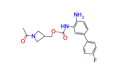 CC(=O)N1CC(COC(=O)Nc2cc(-c3ccc(F)cc3)ccc2N)C1